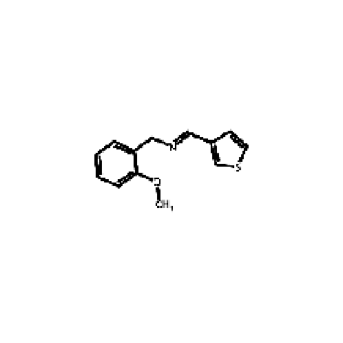 COc1ccccc1CN=Cc1ccsc1